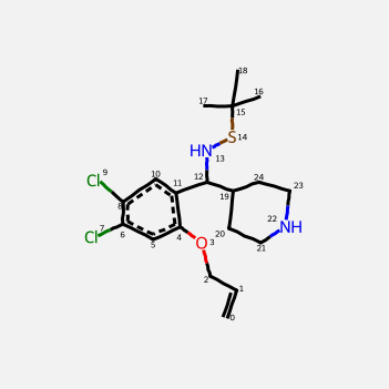 C=CCOc1cc(Cl)c(Cl)cc1C(NSC(C)(C)C)C1CCNCC1